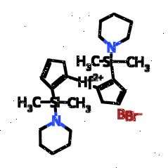 C[Si](C)(C1=[C]([Hf+2][C]2=C([Si](C)(C)N3CCCCC3)C=CC2)CC=C1)N1CCCCC1.[Br-].[Br-]